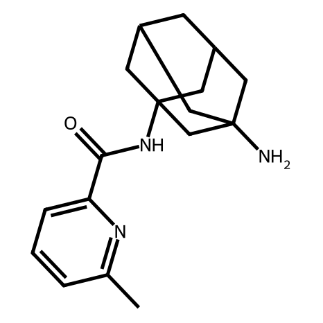 Cc1cccc(C(=O)NC23CC4CC(CC(N)(C4)C2)C3)n1